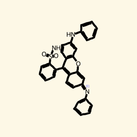 NS(=O)(=O)c1ccccc1-c1c2cc/c(=N\c3ccccc3)cc-2oc2cc(Nc3ccccc3)ccc12